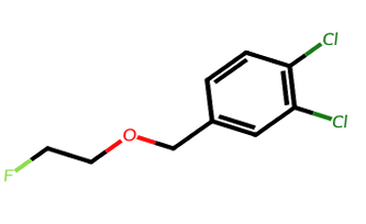 FCCOCc1ccc(Cl)c(Cl)c1